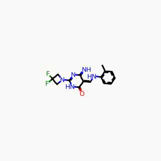 Cc1ccccc1N/C=C1\C(=N)N=C(N2CC(F)(F)C2)NC1=O